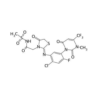 Cn1c(C(F)(F)F)cc(=O)n(-c2cc(N=C3SCC(=O)N3CC(=O)NS(C)(=O)=O)c(Cl)cc2F)c1=O